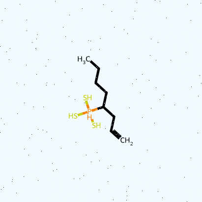 C=CCC(CCCC)[PH](S)(S)S